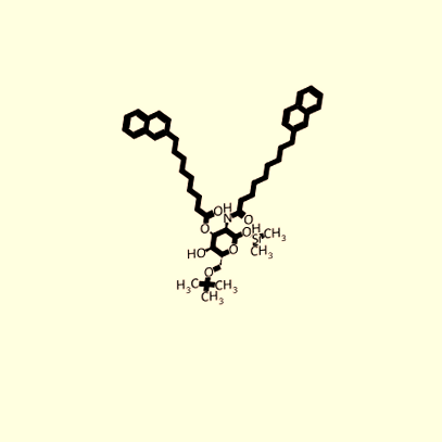 C[SiH](C)OC1O[C@H](COC(C)(C)C)[C@@H](O)[C@H](OC(=O)CCCCCCCCc2ccc3ccccc3c2)[C@H]1NC(=O)CCCCCCCCc1ccc2ccccc2c1